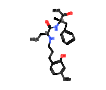 COC(=O)[C@](C)(Cc1ccccc1)NC(=O)[C@H](CC(=O)O)NCCCc1ccc(OC)cc1O